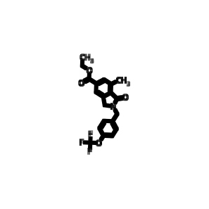 CCOC(=O)c1cc(C)c2c(c1)CN(Cc1ccc(OC(F)(F)F)cc1)C2=O